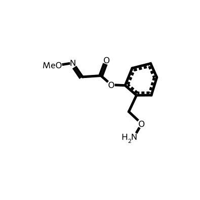 CON=CC(=O)Oc1ccccc1CON